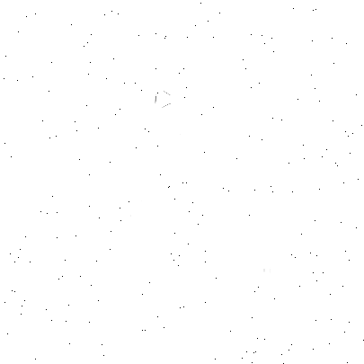 OCCOCCOCCOCCOCCOCCOCC(COCc1ccccc1)OCCOCCOCCOCCOCCOCCO